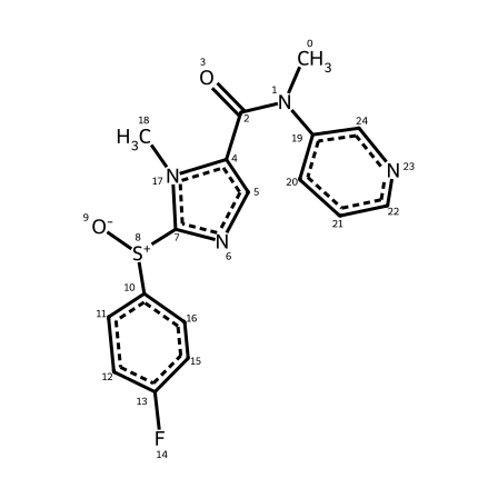 CN(C(=O)c1cnc([S+]([O-])c2ccc(F)cc2)n1C)c1cccnc1